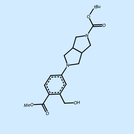 COC(=O)c1ccc(N2CC3CN(C(=O)OC(C)(C)C)CC3C2)cc1CO